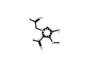 COc1c(Br)cn(CC(C)=O)c1C(C)=O